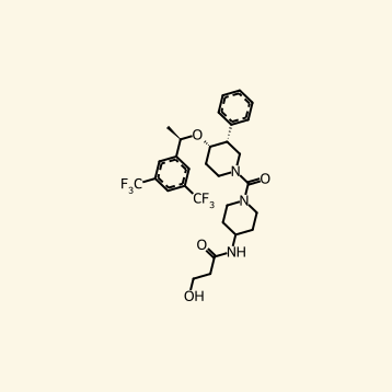 C[C@@H](O[C@H]1CCN(C(=O)N2CCC(NC(=O)CCO)CC2)C[C@H]1c1ccccc1)c1cc(C(F)(F)F)cc(C(F)(F)F)c1